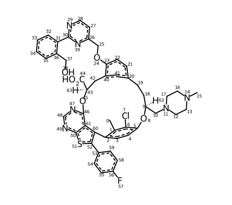 Cc1c2ccc(c1Cl)O[C@H](CN1CCN(C)CC1)CCc1ccc(OCc3ccnc(-c4ccccc4CO)n3)c(c1)C[C@H](C(=O)O)Oc1ncnc3sc(-c4ccc(F)cc4)c-2c13